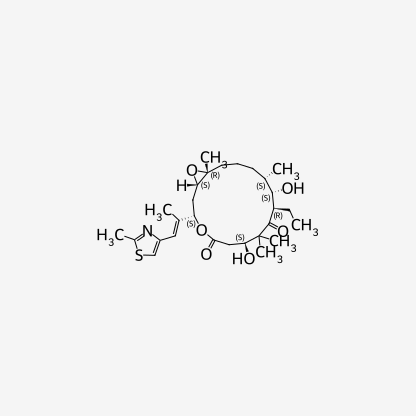 CC[C@H]1C(=O)C(C)(C)[C@@H](O)CC(=O)O[C@H](C(C)=Cc2csc(C)n2)C[C@@H]2O[C@]2(C)CCC[C@H](C)[C@@H]1O